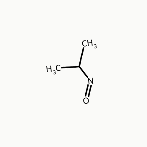 CC(C)N=O